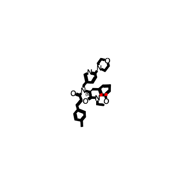 Cc1ccc(C=CC(=O)N(Cc2ccc(N3CCOCC3)nc2)[C@@H](Cc2ccccc2)C(=O)N2CCOCC2)cc1